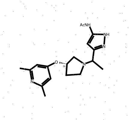 CC(=O)Nc1cc(C(C)N2CC[C@H](Oc3cc(C)nc(C)c3)C2)n[nH]1